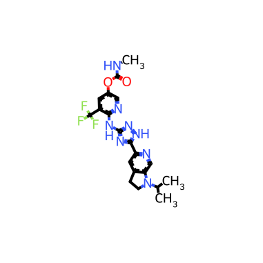 CNC(=O)Oc1cnc(Nc2n[nH]c(-c3cc4c(cn3)N(C(C)C)CC4)n2)c(C(F)(F)F)c1